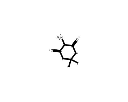 CC1(C)CC(=O)C(N)C(=O)C1